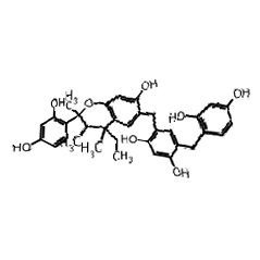 CCC1(C)c2cc(Cc3cc(Cc4ccc(O)cc4O)c(O)cc3O)c(O)cc2OC(C)(c2ccc(O)cc2O)C1C